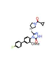 COc1cc(-c2ccc(F)cc2)ccc1-n1c(C[C@@H]2CCN(C(=O)C3CC3)C2)n[nH]c1=O